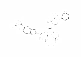 N#C[C@@H]1[C@@H](c2cccnc2)CN(C(=O)[C@@H]2CC[C@@H]3CCCC[C@H](NC(=O)c4cc5cc([C@H](F)P(=O)(O)O)ccc5s4)C(=O)N32)C12CC2